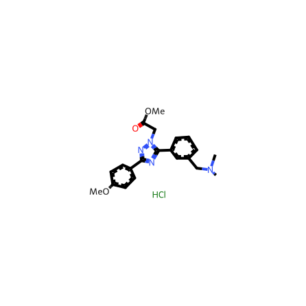 COC(=O)Cn1nc(-c2ccc(OC)cc2)nc1-c1cccc(CN(C)C)c1.Cl